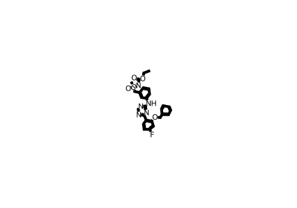 CCOC(=O)N=S(C)(=O)Cc1cccc(Nc2ncnc(-c3ccc(F)cc3OCc3ccccc3)n2)c1